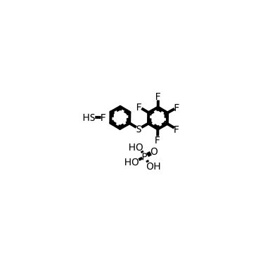 FS.Fc1c(F)c(F)c(Sc2ccccc2)c(F)c1F.O=P(O)(O)O